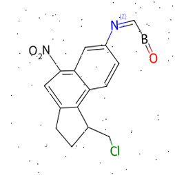 O=B/C=N\c1ccc2c3c(cc([N+](=O)[O-])c2c1)CCC3CCl